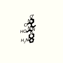 COc1ccc(-c2nc(CO)c(N3CCC4(CCC[C@H]4N)CC3)nc2C)c(Cl)n1